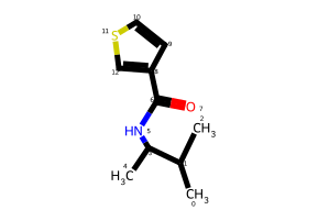 CC(C)C(C)NC(=O)c1ccsc1